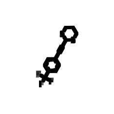 FC(F)(F)c1ccc(C#CC2SCCCS2)cc1